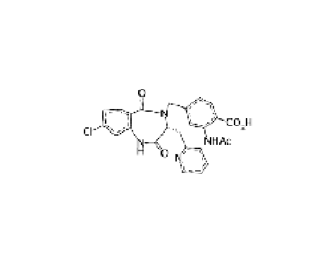 CC(=O)Nc1cc(CN2C(=O)c3ccc(Cl)cc3NC(=O)[C@H]2Cc2ccccn2)ccc1C(=O)O